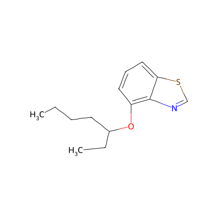 CCCCC(CC)Oc1cccc2scnc12